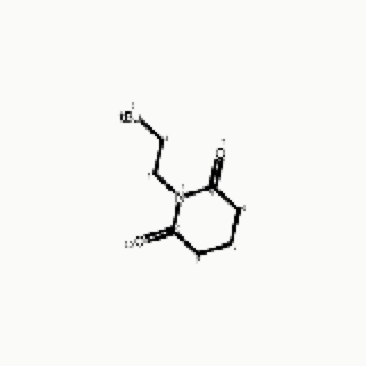 CC(C)(C)CCN1C(=O)CCCC1=O